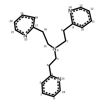 c1ccc(CCN(CCc2ccccn2)CCc2ccccn2)nc1